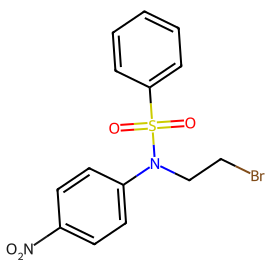 O=[N+]([O-])c1ccc(N(CCBr)S(=O)(=O)c2ccccc2)cc1